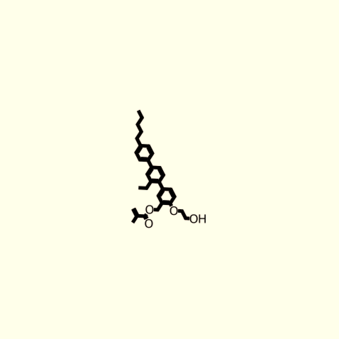 C=C(C)C(=O)OCc1cc(-c2ccc(-c3ccc(CCCCC)cc3)cc2CC)ccc1OCCO